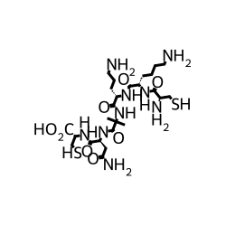 CC(C)(NC(=O)[C@H](CCCN)NC(=O)[C@H](CCCCN)NC(=O)[C@@H](N)CS)C(=O)N[C@@H](CC(N)=O)C(=O)N[C@@H](CS)C(=O)O